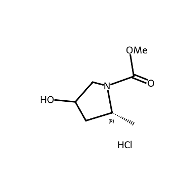 COC(=O)N1CC(O)C[C@H]1C.Cl